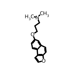 CN(C)CCCOc1ccc2c(ccc3occc32)c1